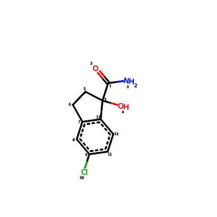 NC(=O)C1(O)[CH]Cc2cc(Cl)ccc21